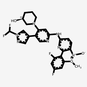 COc1cc(F)cc(F)c1-c1nc(Nc2cc(N3CCC[C@H](O)C3)c(-c3cnn(C(F)F)c3)cn2)ccc1[N+](=O)[O-]